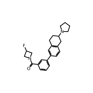 O=C(c1cccc(-c2ccc3c(c2)CCC(N2CCCC2)C3)c1)N1CC(F)C1